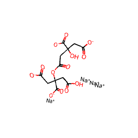 O=C([O-])CC(O)(CC(=O)OC(CC(=O)[O-])(CC(=O)O)C(=O)[O-])C(=O)[O-].[Na+].[Na+].[Na+].[Na+]